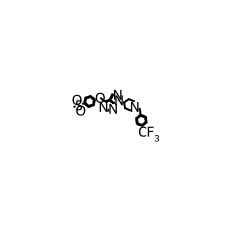 CS(=O)(=O)c1ccc(Oc2ncnc3c2cnn3C2CCN(Cc3ccc(C(F)(F)F)cc3)CC2)cc1